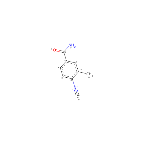 [C-]#[N+]c1ccc(C(N)=O)cc1C